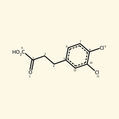 O=C(O)C(=O)CCc1ccc(Cl)c(Cl)c1